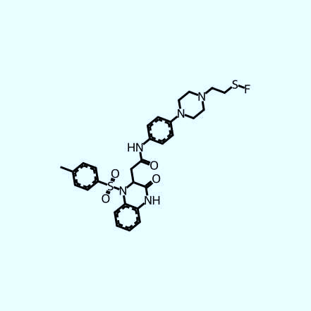 Cc1ccc(S(=O)(=O)N2c3ccccc3NC(=O)C2CC(=O)Nc2ccc(N3CCN(CCSF)CC3)cc2)cc1